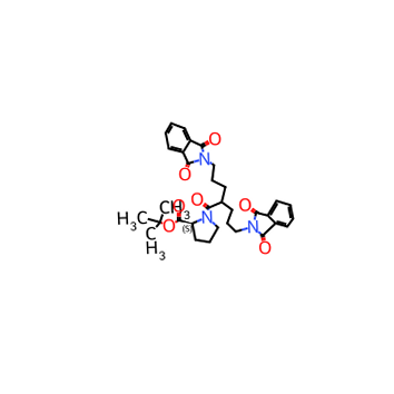 CC(C)(C)OC(=O)[C@@H]1CCCN1C(=O)C(CCCN1C(=O)c2ccccc2C1=O)CCCN1C(=O)c2ccccc2C1=O